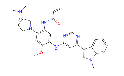 C=CC(=O)Nc1cc(Nc2cc(-c3cn(C)c4ccccc34)ncn2)c(OC)cc1N1CC[C@H](N(C)C)C1